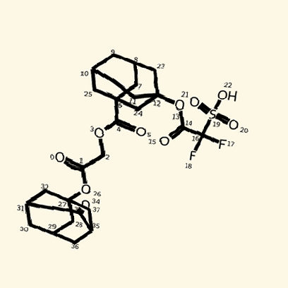 O=C(COC(=O)C12CC3CC(CC(OC(=O)C(F)(F)S(=O)(=O)O)(C3)C1)C2)OC12CC3CC(C1)C(=O)C(C3)C2